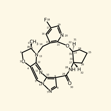 C[C@@H]1COc2cn3ncc4c3nc2N1Cc1cc(F)cnc1O[C@H]1CCC[C@@H]1NC4=O